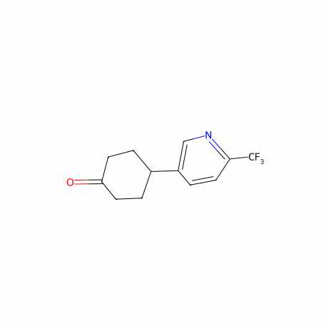 O=C1CCC(c2ccc(C(F)(F)F)nc2)CC1